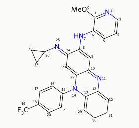 COc1ncccc1Nc1cc2nc3c(n(-c4ccc(C(F)(F)F)cc4)c-2c/c1=N\C1CC1)=CCCC=3